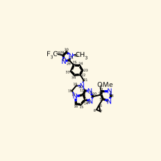 COc1ncnc(C2CC2)c1-c1nc2c3c(ccn3CCN2Cc2ccc(-c3nc(C(F)(F)F)cn3C)cc2)n1